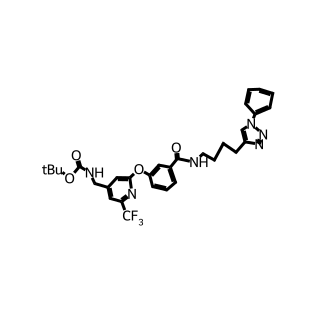 CC(C)(C)OC(=O)NCc1cc(Oc2cccc(C(=O)NCCCCc3cn(-c4ccccc4)nn3)c2)nc(C(F)(F)F)c1